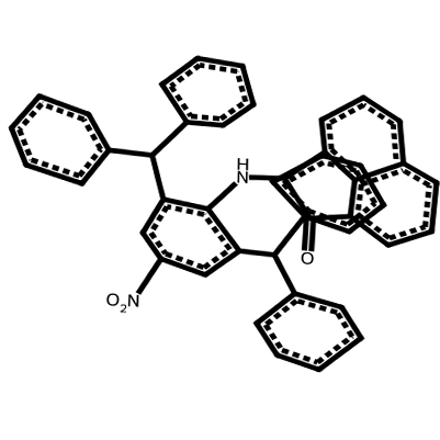 O=C1c2cccc3cccc(c23)C1Nc1c(C(c2ccccc2)c2ccccc2)cc([N+](=O)[O-])cc1C(c1ccccc1)c1ccccc1